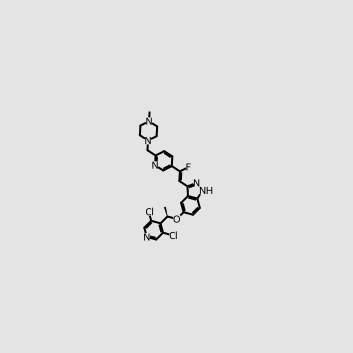 C[C@@H](Oc1ccc2[nH]nc(/C=C(\F)c3ccc(CN4CCN(C)CC4)nc3)c2c1)c1c(Cl)cncc1Cl